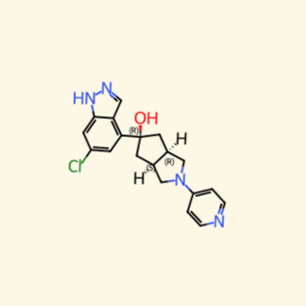 O[C@@]1(c2cc(Cl)cc3[nH]ncc23)C[C@H]2CN(c3ccncc3)C[C@H]2C1